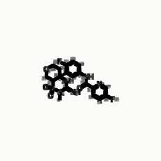 CN1C(=N)N[C@@]2(c3cc(NC(=O)c4ccc(F)cn4)ccc3F)CCOCC2S1(=O)=O